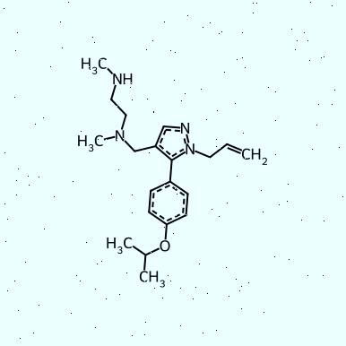 C=CCn1ncc(CN(C)CCNC)c1-c1ccc(OC(C)C)cc1